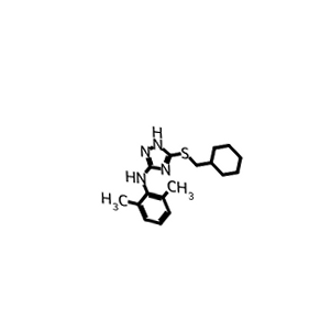 Cc1cccc(C)c1Nc1n[nH]c(SCC2CCCCC2)n1